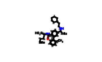 CCCCC(NCCC1CCCCC1)c1ccc(C(=O)NC(CCSC)C(=O)O)c(-c2ccccc2C)c1